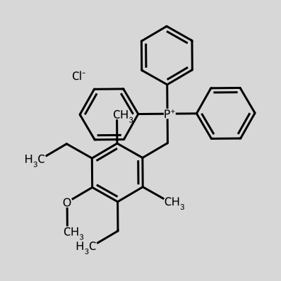 CCc1c(C)c(C[P+](c2ccccc2)(c2ccccc2)c2ccccc2)c(C)c(CC)c1OC.[Cl-]